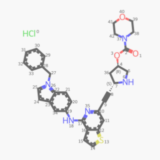 Cl.O=C(O[C@H]1CN[C@H](C#Cc2cc3sccc3c(Nc3ccc4c(ccn4Cc4ccccc4)c3)n2)C1)N1CCOCC1